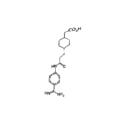 N=C(N)c1ccc(NC(=O)CCC2CCC(CC(=O)O)CC2)cc1